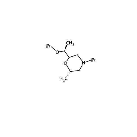 CC(C)O[C@@H](C)C1CN(C(C)C)C[C@H](C)O1